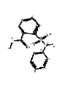 COC(=O)c1ccccc1S(=O)(=O)N(Cl)c1ccccc1